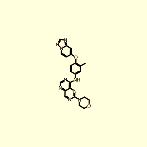 Cc1cc(Nc2ncnc3cnc(N4CCOCC4)nc23)ccc1Oc1ccn2ncnc2c1